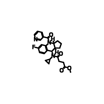 COC(=O)CCC(=O)N(C1CC1)[C@H]1c2ccc(F)cc2N(C(=O)c2cccnc2)[C@@H]2CCC[C@@H]21